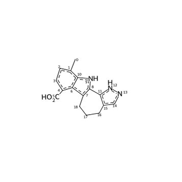 Cc1ccc(C(=O)O)c2c3c([nH]c12)-c1[nH]ncc1CCC3